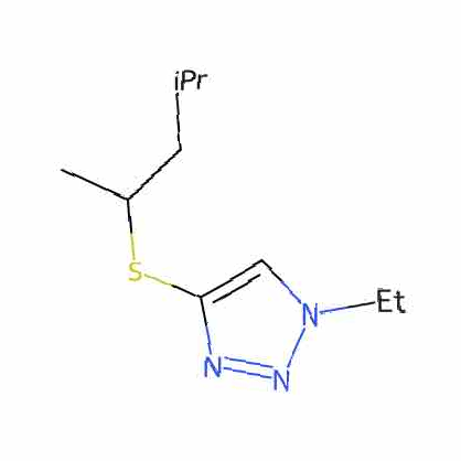 CCn1cc(SC(C)CC(C)C)nn1